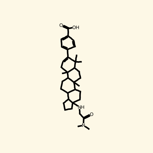 CN(C)C(=O)CNC12CCCC1C1CCC3C(C)(CCC4C(C)(C)C(c5ccc(C(=O)O)cc5)=CCC43C)C1CC2